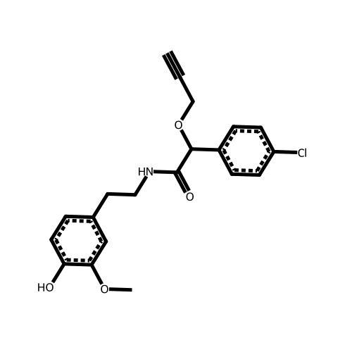 C#CCOC(C(=O)NCCc1ccc(O)c(OC)c1)c1ccc(Cl)cc1